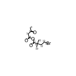 CC(=O)CC(=O)OC(=O)C(C)(C)CCBr